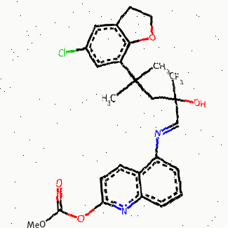 COC(=O)Oc1ccc2c(N=CC(O)(CC(C)(C)c3cc(Cl)cc4c3OCC4)C(F)(F)F)cccc2n1